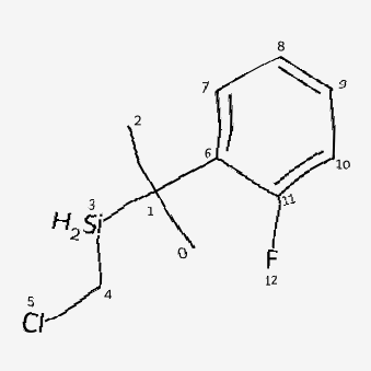 CC(C)([SiH2]CCl)c1ccccc1F